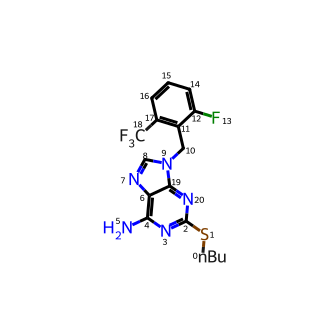 CCCCSc1nc(N)c2ncn(Cc3c(F)cccc3C(F)(F)F)c2n1